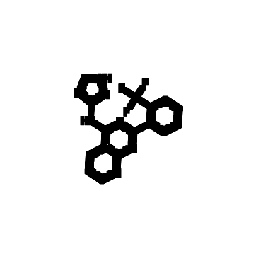 FC(F)(F)c1ccccc1-c1nc(Nc2nc[nH]n2)c2cccnc2n1